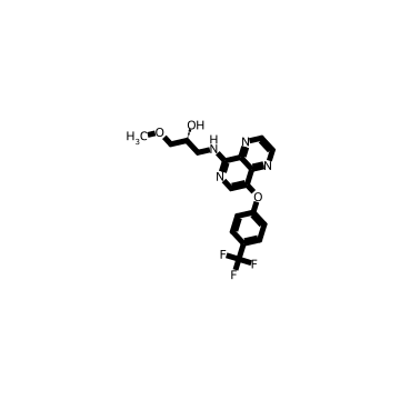 COC[C@H](O)CNc1ncc(Oc2ccc(C(F)(F)F)cc2)c2nccnc12